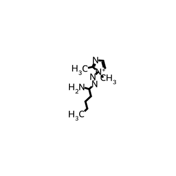 CCCCC(N)/N=N/[N+]1(C)C=CN=C1C